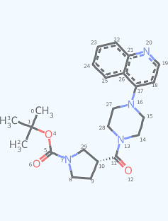 CC(C)(C)OC(=O)N1CC[C@@H](C(=O)N2CCN(c3ccnc4ccccc34)CC2)C1